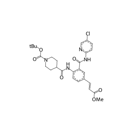 COC(=O)/C=C/c1ccc(NC(=O)C2CCN(C(=O)OC(C)(C)C)CC2)c(C(=O)Nc2ccc(Cl)cn2)c1